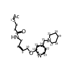 CC(=O)SCCC(=O)NC/C=C\COc1cc(CN2CCCCC2)ccn1